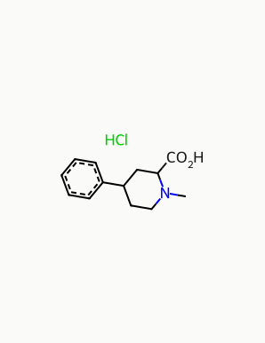 CN1CCC(c2ccccc2)CC1C(=O)O.Cl